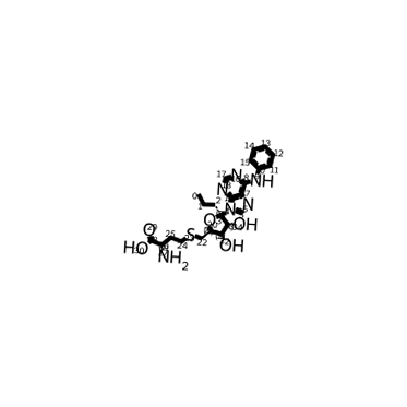 CCC[C@@]1(n2cnc3c(Nc4ccccc4)ncnc32)O[C@H](CSCC[C@H](N)C(=O)O)[C@@H](O)[C@H]1O